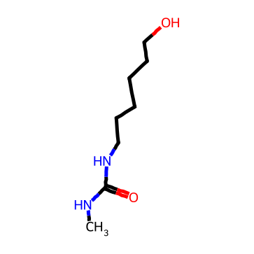 CNC(=O)NCCCCCCO